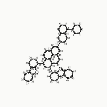 c1ccc(-c2cccc3cc(-c4cc5ccc6c(-c7cccc8c7oc7ccccc78)cc(-c7cccc8c7oc7ccccc78)c7ccc(c4)c5c67)ccc23)cc1